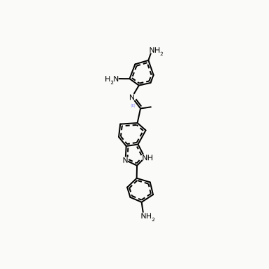 C/C(=N\c1ccc(N)cc1N)c1ccc2nc(-c3ccc(N)cc3)[nH]c2c1